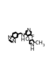 C[C@H]1C[C@@H](Oc2c(F)cncc2NCc2ccc3nccnc3c2)CN1